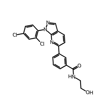 O=C(NCCO)c1cccc(-c2ccc3cnn(-c4ccc(Cl)cc4Cl)c3n2)c1